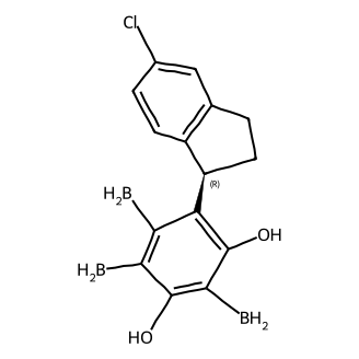 Bc1c(B)c([C@@H]2CCc3cc(Cl)ccc32)c(O)c(B)c1O